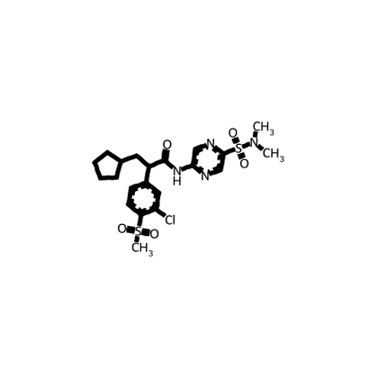 CN(C)S(=O)(=O)c1cnc(NC(=O)C(CC2CCCC2)c2ccc(S(C)(=O)=O)c(Cl)c2)cn1